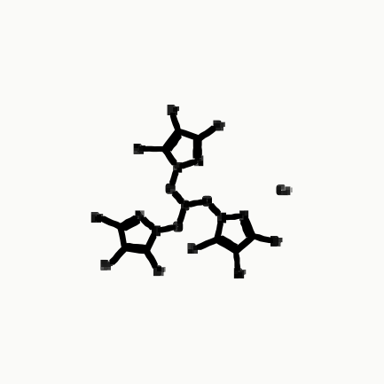 Brc1nn(OB(On2nc(Br)c(Br)c2Br)On2nc(Br)c(Br)c2Br)c(Br)c1Br.[Cu]